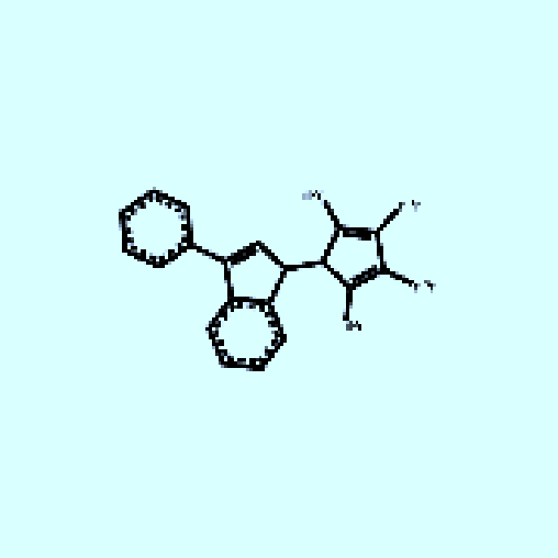 CCCC1=C(CCC)C(CCC)=C(CCC)[C]1C1C=C(c2ccccc2)c2ccccc21